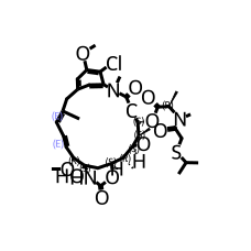 COc1cc2cc(c1Cl)N(C)C(=O)C[C@H](OC(=O)[C@@H](C)N(C)C(=O)CSC(C)C)[C@]1(C)O[C@H]1[C@H](C)[C@@H]1C[C@@](O)(NC(=O)O1)[C@H](OC)/C=C/C=C(\C)C2